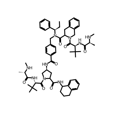 CC[C@H](c1ccccc1)N(Cc1ccc(C(=O)N[C@H]2CC(C(=O)NC3CCCc4ccccc43)N(C(=O)[C@@H](NC(=O)[C@H](C)NC)C(C)(C)C)C2)cc1)C(=O)C1Cc2ccccc2CN1C(=O)[C@@H](NC(=O)[C@H](C)NC)C(C)(C)C